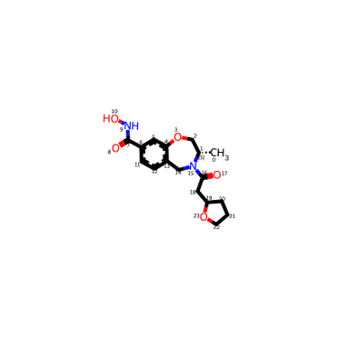 C[C@H]1COc2cc(C(=O)NO)ccc2CN1C(=O)CC1CCCO1